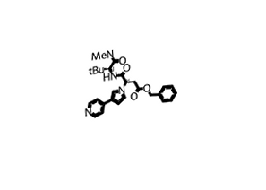 CNC(=O)[C@@H](NC(=O)[C@@H](CC(=O)OCc1ccccc1)n1ccc(-c2ccncc2)c1)C(C)(C)C